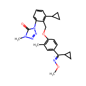 CO/N=C(/c1ccc(OCc2c(C3CC3)cccc2-n2nnn(C)c2=O)c(C)c1)C1CC1